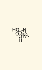 Cc1cc2ncc(C(=O)O)c(O)n2n1